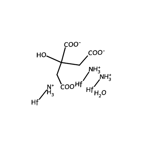 O.O=C([O-])CC(O)(CC(=O)[O-])C(=O)[O-].[NH3+][Hf].[NH3+][Hf].[NH3+][Hf]